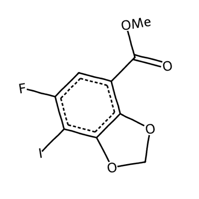 COC(=O)c1cc(F)c(I)c2c1OCO2